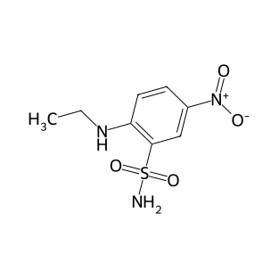 CCNc1ccc([N+](=O)[O-])cc1S(N)(=O)=O